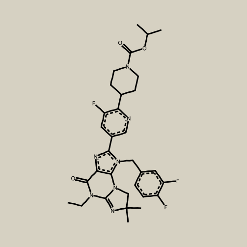 CCN1C(=O)c2nc(-c3cnc(C4CCN(C(=O)OC(C)C)CC4)c(F)c3)n(Cc3ccc(F)c(F)c3)c2N2CC(C)(C)N=C12